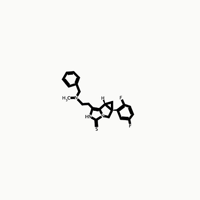 CN(CCc1[nH]c(=S)n2c1[C@@H]1C[C@]1(c1cc(F)ccc1F)C2)Cc1ccccc1